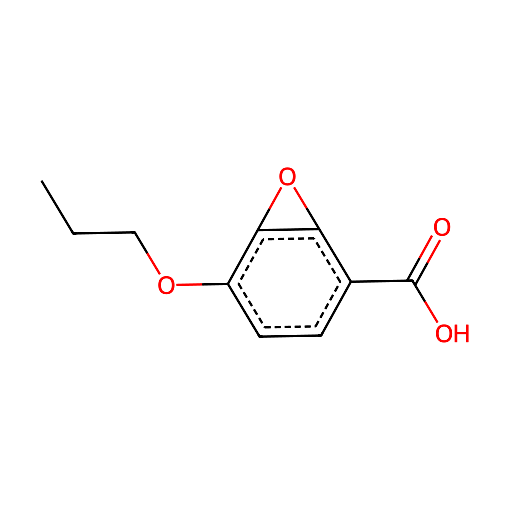 CCCOc1ccc(C(=O)O)c2c1O2